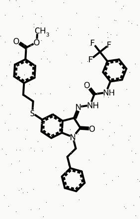 COC(=O)c1ccc(CCSc2ccc3c(c2)/C(=N/NC(=O)Nc2cccc(C(F)(F)F)c2)C(=O)N3CCc2ccccc2)cc1